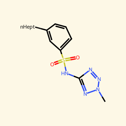 CCCCCCCc1cccc(S(=O)(=O)Nc2nnn(C)n2)c1